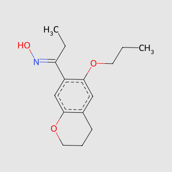 CCCOc1cc2c(cc1C(CC)=NO)OCCC2